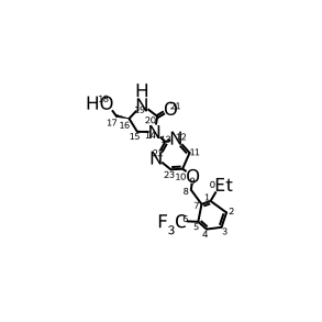 CCc1cccc(C(F)(F)F)c1COc1cnc(N2C[C@@H](CO)NC2=O)nc1